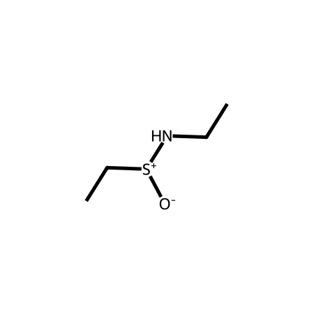 CCN[S+]([O-])CC